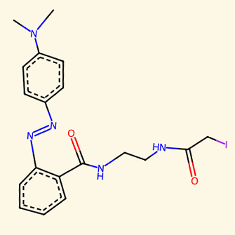 CN(C)c1ccc(N=Nc2ccccc2C(=O)NCCNC(=O)CI)cc1